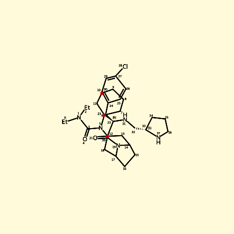 CCN(CC)C(=O)N(C1CCCCC1)C1CC2CCC(C1)N2C(=O)[C@@H](Cc1ccc(Cl)cc1)NC[C@@H]1CCCN1